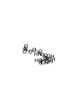 CC(C)(CCC(=O)Nc1ccc(O[C@H]2O[C@H](CCP(=O)(O)O)[C@@H](O)[C@H](O)[C@@H]2O)cc1)OCCOC(C)(C)CCN1C(=O)C=CC1=O